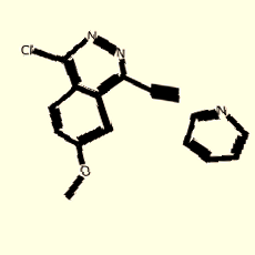 C#Cc1nnc(Cl)c2ccc(OC)cc12.c1ccncc1